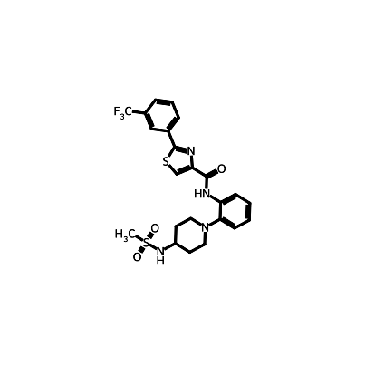 CS(=O)(=O)NC1CCN(c2ccccc2NC(=O)c2csc(-c3cccc(C(F)(F)F)c3)n2)CC1